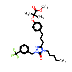 CCCCCn1c(CCCc2ccc(OC(C)(C)C(=O)OC)cc2)nn(Cc2cccc(C(F)(F)F)c2)c1=O